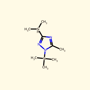 Cc1nc([SiH](C)C)nn1[Si](C)(C)C